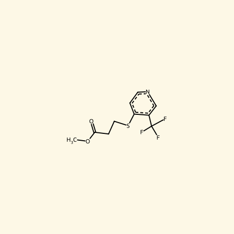 COC(=O)CCSc1ccncc1C(F)(F)F